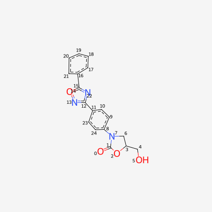 O=C1OC(CO)CN1c1ccc(-c2noc(-c3ccccc3)n2)cc1